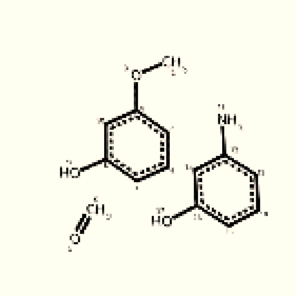 C=O.COc1cccc(O)c1.Nc1cccc(O)c1